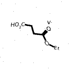 CCOC(=O)CCC(=O)O.[V]